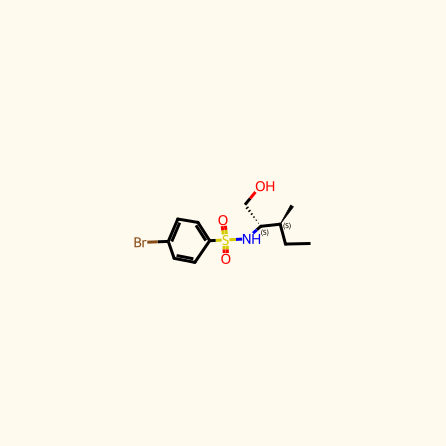 CC[C@H](C)[C@@H](CO)NS(=O)(=O)c1ccc(Br)cc1